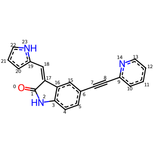 O=C1Nc2ccc(C#Cc3ccccn3)cc2/C1=C/c1ccc[nH]1